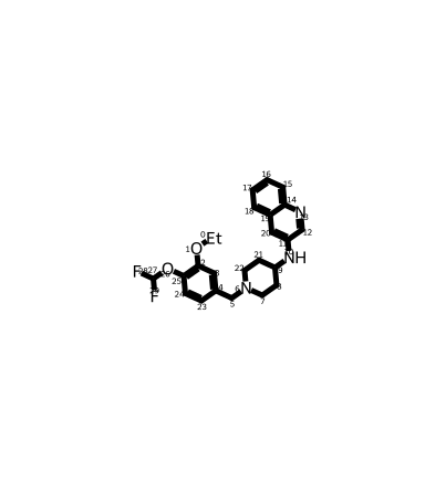 CCOc1cc(CN2CCC(Nc3cnc4ccccc4c3)CC2)ccc1OC(F)F